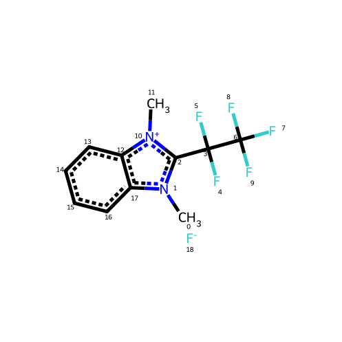 Cn1c(C(F)(F)C(F)(F)F)[n+](C)c2ccccc21.[F-]